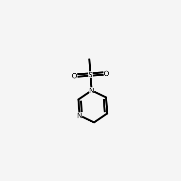 CS(=O)(=O)N1C=CCN=C1